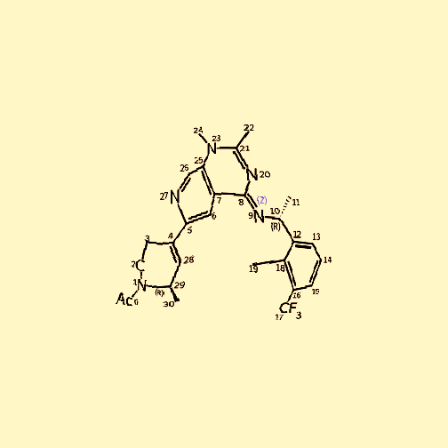 CC(=O)N1CCC(c2cc3/c(=N/[C@H](C)c4cccc(C(F)(F)F)c4C)nc(C)n(C)c3cn2)=C[C@H]1C